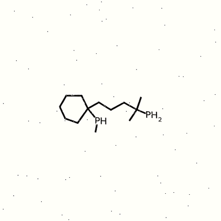 CPC1(CCCC(C)(C)P)CCCCC1